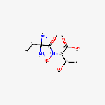 CCC(N)(N)C(=O)N(O)[C@H](C(=O)O)[C@@H](C)O